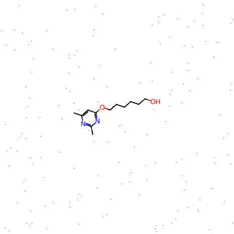 Cc1cc(OCCCCCCO)nc(C)n1